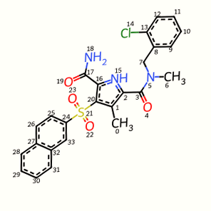 Cc1c(C(=O)N(C)Cc2ccccc2Cl)[nH]c(C(N)=O)c1S(=O)(=O)c1ccc2ccccc2c1